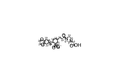 O=C(O)CN1CCN(C(=O)C=Cc2ccc(Sc3ccc4c(c3)OCCO4)c([N+](=O)[O-])c2)CC1